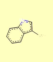 C[N]c1c[nH]c2ccccc12